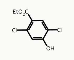 CCOC(=O)c1cc(Cl)c(O)cc1Cl